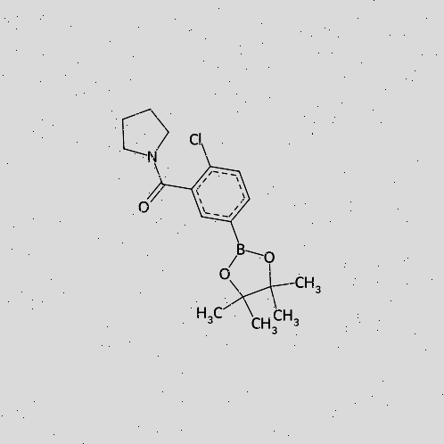 CC1(C)OB(c2ccc(Cl)c(C(=O)N3CCCC3)c2)OC1(C)C